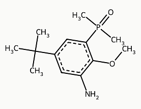 COc1c(N)cc(C(C)(C)C)cc1P(C)(C)=O